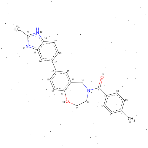 Cc1ccc(C(=O)N2CCOc3ccc(-c4ccc5[nH]c(C)nc5c4)cc3C2)cc1